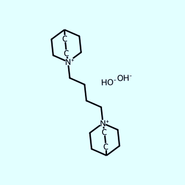 C(CC[N+]12CCC(CC1)CC2)C[N+]12CCC(CC1)CC2.[OH-].[OH-]